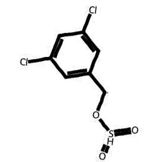 O=[SH](=O)O[CH]c1cc(Cl)cc(Cl)c1